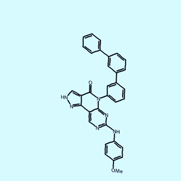 COc1ccc(Nc2ncc3c4n[nH]cc4c(=O)n(-c4cccc(-c5cccc(-c6ccccc6)c5)c4)c3n2)cc1